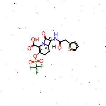 O=C(Cc1cccs1)N[C@@H]1C(=O)N2C(C(=O)O)=C(OS(=O)(=O)C(F)(F)F)CC[C@H]12